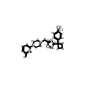 Cc1cccc(N2CCN(Cc3nc(C4(c5ccc(C(F)(F)F)cc5)CCC4)no3)CC2)n1